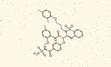 COc1ccc(C)cc1NC(=O)C(Oc1ccc(C(=O)NS(N)(=O)=O)cc1)C1=Nc2ccccc2S(=O)(=O)N1CCCOc1ccc(C)cc1C